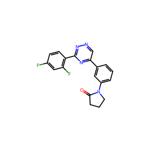 O=C1CCCN1c1cccc(-c2cnnc(-c3ccc(F)cc3F)n2)c1